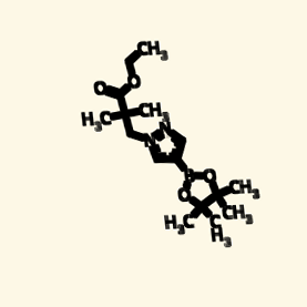 CCOC(=O)C(C)(C)Cn1cc(B2OC(C)(C)C(C)(C)O2)cn1